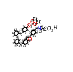 CCOC(COc1ccc(Cc2ccccc2)cc1)OCC.O=C(O)C1CN(Cc2ccc(-c3cc4cc(Cc5ccccc5)ccc4o3)cc2)C1